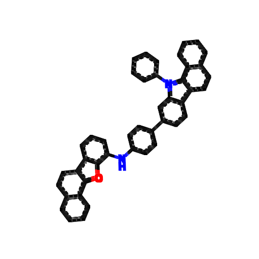 c1ccc(-n2c3cc(-c4ccc(Nc5cccc6c5oc5c7ccccc7ccc65)cc4)ccc3c3ccc4ccccc4c32)cc1